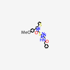 COc1ccc(C2CC(c3cccs3)=NN2C(=O)CSc2nnc(CNC(=O)Cc3ccccc3)n2C)cc1